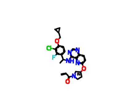 C=CC(=O)N1CC[C@H](Oc2ccc3ncnc(NC(C)c4ccc(OCC5CC5)c(Cl)c4F)c3n2)C1